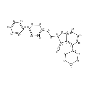 O=C1c2c(N3CCOCC3)ccnc2CN1CCc1ccc(-c2ccccc2)cn1